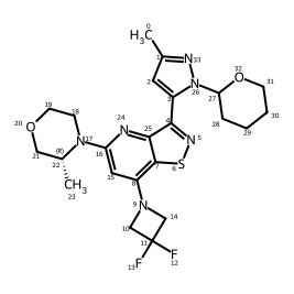 Cc1cc(-c2nsc3c(N4CC(F)(F)C4)cc(N4CCOC[C@H]4C)nc23)n(C2CCCCO2)n1